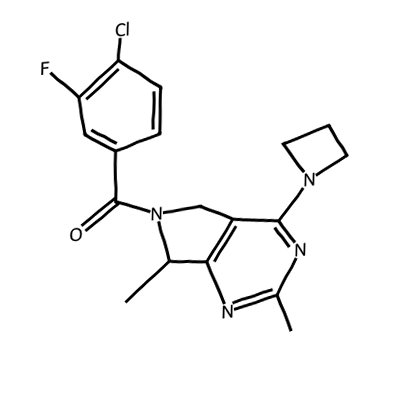 Cc1nc2c(c(N3CCC3)n1)CN(C(=O)c1ccc(Cl)c(F)c1)C2C